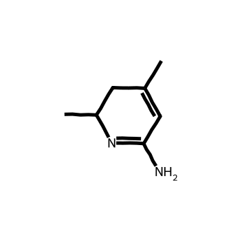 CC1=CC(N)=NC(C)C1